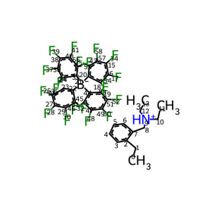 CCc1ccccc1C[NH+](CC)CC.Fc1c(F)c(F)c([B-](c2c(F)c(F)c(F)c(F)c2F)(c2c(F)c(F)c(F)c(F)c2F)c2c(F)c(F)c(F)c(F)c2F)c(F)c1F